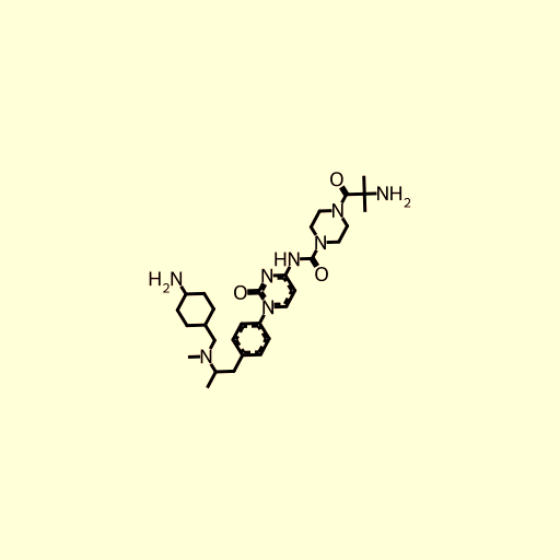 CC(Cc1ccc(-n2ccc(NC(=O)N3CCN(C(=O)C(C)(C)N)CC3)nc2=O)cc1)N(C)CC1CCC(N)CC1